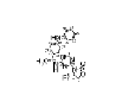 CC(C)[C@H]1COC(=O)N1c1ncnc(N[C@@H](C)c2ccc(Nc3ccccc3)cc2)n1